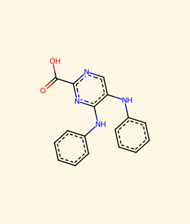 O=C(O)c1ncc(Nc2ccccc2)c(Nc2ccccc2)n1